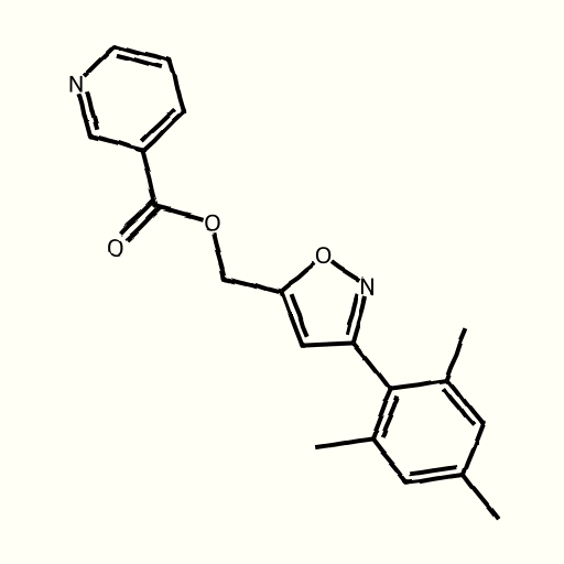 Cc1cc(C)c(-c2cc(COC(=O)c3cccnc3)on2)c(C)c1